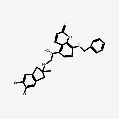 CCc1cc2c(cc1CC)CC(C)(NC[C@H](O)c1ccc(NCc3ccccc3)c3[nH]c(=O)ccc13)C2